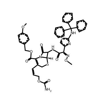 CO/N=C(\C(=O)NC1C(=O)N2C(C(=O)OCc3ccc(OC)cc3)=C(/C=C\COC(N)=O)CS[C@@H]12)c1csc(NC(c2ccccc2)(c2ccccc2)c2ccccc2)n1